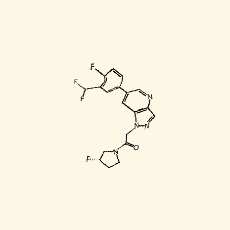 O=C(Cn1ncc2ncc(-c3ccc(F)c(C(F)F)c3)cc21)N1CC[C@H](F)C1